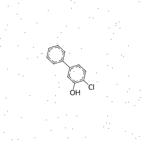 Oc1cc(-c2ccccc2)ccc1Cl